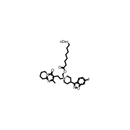 CCCCCCCCCCCCCCCCCC(=O)OC[N+]1(CCc2c(C)nc3n(c2=O)CCCC3)CCC(c2noc3cc(F)ccc23)CC1